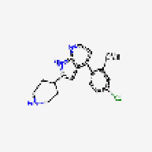 COc1cc(Cl)ccc1-c1ccnc2[nH]c(C3CCNCC3)cc12